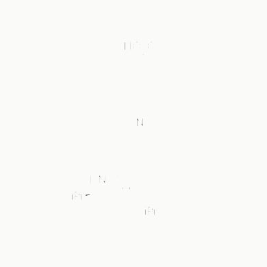 Cc1c(C)n(Cc2ccc(-c3ccccc3C(=O)O)cc2)c2ccc(C(=O)N[C@@H](c3cccc(C(C)C)c3)C(C)C)cc12